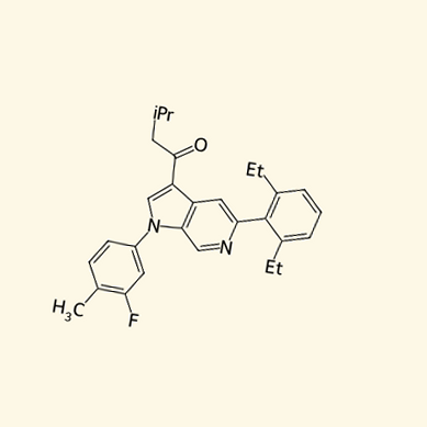 CCc1cccc(CC)c1-c1cc2c(C(=O)CC(C)C)cn(-c3ccc(C)c(F)c3)c2cn1